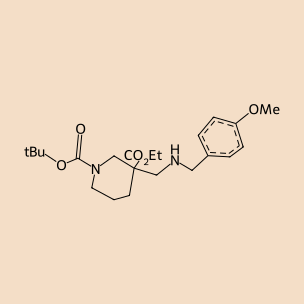 CCOC(=O)C1(CNCc2ccc(OC)cc2)CCCN(C(=O)OC(C)(C)C)C1